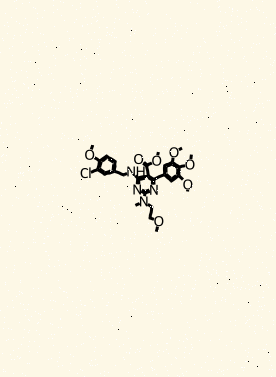 COCCN(C)c1nc(NCc2ccc(OC)c(Cl)c2)c(C(=O)OC)c(-c2cc(OC)c(OC)c(OC)c2)n1